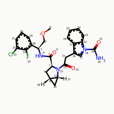 COC[C@@H](NC(=O)[C@@H]1C[C@H]2C[C@H]2N1C(=O)Cc1cn(C(N)=O)c2ccccc12)c1cccc(Cl)c1F